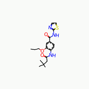 CCCOc1cc(C(=O)Nc2nccs2)ccc1NC(=O)CC(C)(C)C